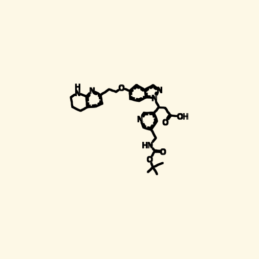 CC(C)(C)OC(=O)NCc1cncc(C(CC(=O)O)n2ncc3cc(OCCc4ccc5c(n4)NCCC5)ccc32)c1